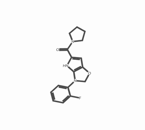 O=C(c1cc2c([nH]1)N(c1ccccc1F)CO2)N1CCCC1